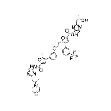 Cc1oc(C(=O)Nc2nc(CC(C)N3CCOCC3)ns2)cc1-c1cccc(OCCc2oc(C(=O)Nc3nc(CC(C)O)ns3)cc2-c2cccc(C(F)(F)F)c2)c1